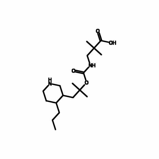 CCCC1CCNCC1CC(C)(C)OC(=O)NCC(C)(C)C(=O)O